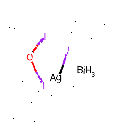 IOI.[Ag][I].[BiH3]